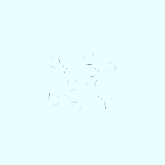 c1ccc2c(c1)Sc1ccccc1N2c1cc(-c2cc(-c3nc4ccccc4o3)cc(N3c4ccccc4Sc4ccccc43)c2)cc(-c2nc3ccccc3o2)c1